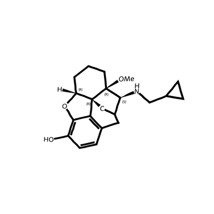 CO[C@]12CCC[C@H]3Oc4c(O)ccc5c4[C@]31CC(C5)[C@@H]2NCC1CC1